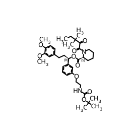 CCC(C)(C)C(=O)C(=O)N1CCCC[C@H]1C(=O)O[C@H](CCc1ccc(OC)c(OC)c1)c1cccc(OCCNC(=O)OC(C)(C)C)c1